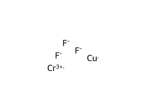 [Cr+3].[Cu].[F-].[F-].[F-]